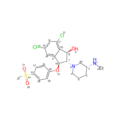 CCN[C@@H]1CCCN([C@H]2[C@H](O)c3c(Cl)cc(Cl)cc3[C@@H]2Oc2ccc(S(C)(=O)=O)cc2)C1